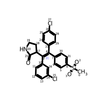 CS(=O)(=O)c1ccc(/C(=C(\c2cccc(Cl)c2)C2CCNC2=O)c2ccc(Cl)cc2)cc1